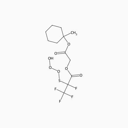 CC1(OC(=O)COC(=O)C(F)(SOOO)C(F)(F)F)CCCCC1